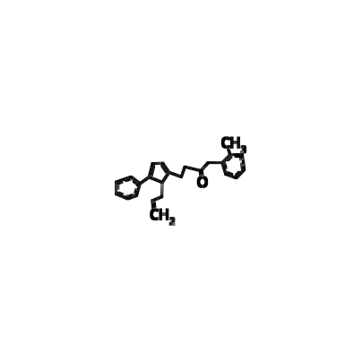 C=CCC1C(CCC(=O)Cc2ccccc2C)=CC=C1c1ccccc1